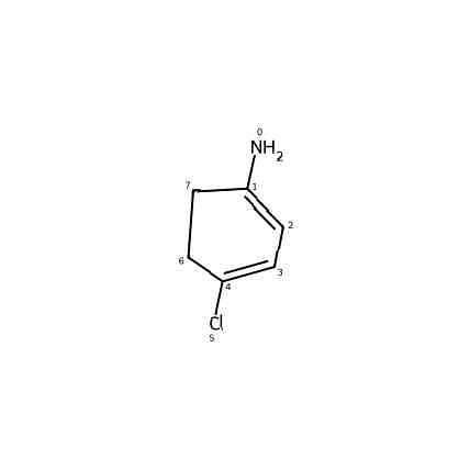 NC1=CC=C(Cl)CC1